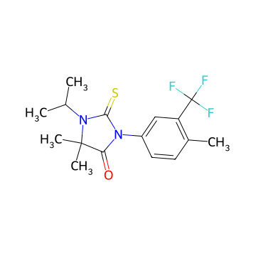 Cc1ccc(N2C(=O)C(C)(C)N(C(C)C)C2=S)cc1C(F)(F)F